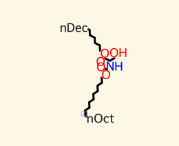 CCCCCCCC/C=C\CCCCCCCCOC(=O)NC(CO)C(=O)OCCCCCCCCCCCCCCCC